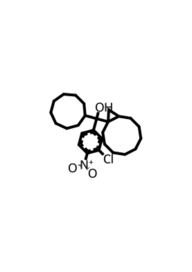 O=[N+]([O-])c1ccc(C(O)(C2CCCCCCCC2)C23CCCCCCCCC2C3)cc1Cl